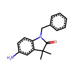 CC1(C)C(=O)N(Cc2ccccc2)c2ccc(N)cc21